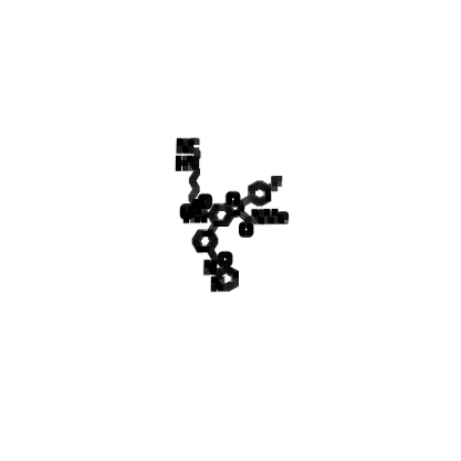 CNC(=O)c1c(-c2ccc(F)cc2)oc2cc(NS(=O)(=O)CCCCNCC#N)c(-c3cccc(-c4nc5ncccc5o4)c3)cc12